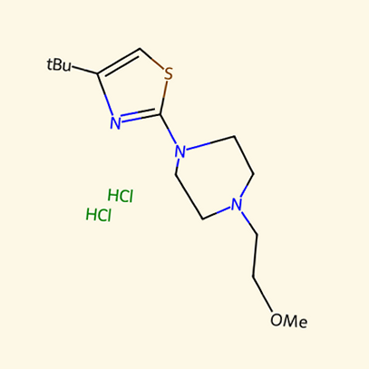 COCCN1CCN(c2nc(C(C)(C)C)cs2)CC1.Cl.Cl